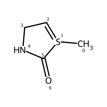 CS1=CCNC1=O